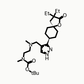 CCC1(CC)C[C@]2(CC[C@H](c3n[nH]cc3CN(C)CCN(C)C(=O)OC(C)(C)C)CC2)OC1=O